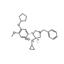 COc1ccc([C@@H]2CN(Cc3ccccc3)C[C@@]2(C)[C@@H](O)C2CC2)cc1OC1CCCC1